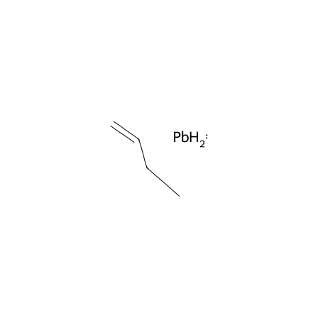 C=CCC.[PbH2]